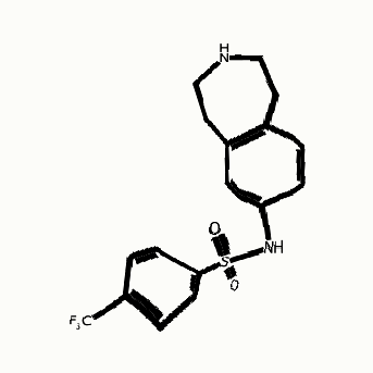 O=S(=O)(Nc1ccc2c(c1)CCNCC2)c1ccc(C(F)(F)F)cc1